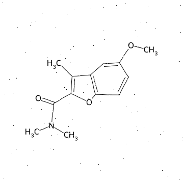 COc1ccc2oc(C(=O)N(C)C)c(C)c2c1